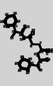 CC(C(=S)SC(=N)CCC(=O)SC(=S)C(C)c1ccccn1)c1ccccn1